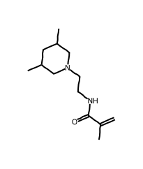 C=C(C)C(=O)NCCN1CC(C)CC(C)C1